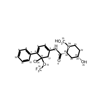 O=C(NC1=CC=C(c2ccccc2)C(Cl)(OC(F)(F)F)C1)[C@H]1C[C@@H](O)CCN1C(=O)O